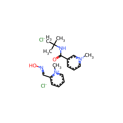 C[n+]1cccc(C(=O)NC(C)(C)C)c1.C[n+]1ccccc1C=NO.[Cl-].[Cl-]